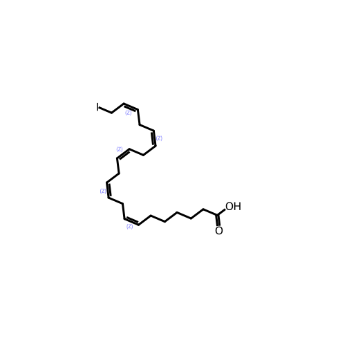 O=C(O)CCCCC/C=C\C/C=C\C/C=C\C/C=C\C/C=C\CI